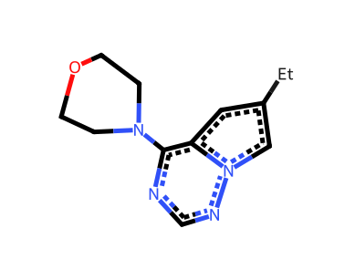 CCc1cc2c(N3CCOCC3)ncnn2c1